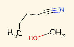 CCC#N.CO